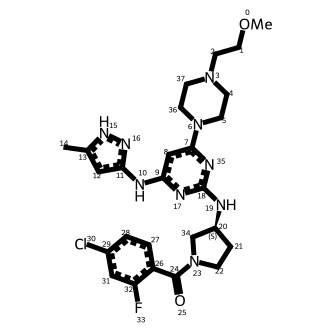 COCCN1CCN(c2cc(Nc3cc(C)[nH]n3)nc(N[C@H]3CCN(C(=O)c4ccc(Cl)cc4F)C3)n2)CC1